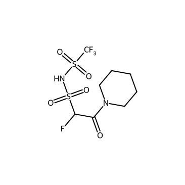 O=C(C(F)S(=O)(=O)NS(=O)(=O)C(F)(F)F)N1CCCCC1